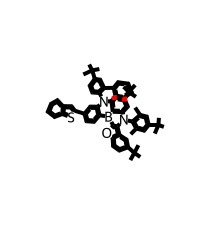 Cc1cc(C(C)(C)C)cc(C)c1N1c2cc(C(C)(C)C)cc3c2B(c2ccc(-c4cc5ccccc5s4)cc2N3c2ccc(C(C)(C)C)cc2-c2ccccc2)c2oc3ccc(C(C)(C)C)cc3c21